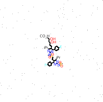 CC(C)c1nc(N(C)S(C)(=O)=O)nc(-c2ccc(F)cc2)c1/C=C/S(=O)(=O)N(C)c1nc(-c2ccc(F)cc2)c(/C=C/[C@@H](O)C[C@@H](O)CC(=O)O)c(C(C)C)n1